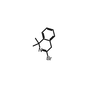 CC1(C)N=C(Br)Cc2ccccc21